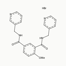 Br.COc1ccc(C(=O)NCc2cccnc2)cc1C(=O)NCc1cccnc1